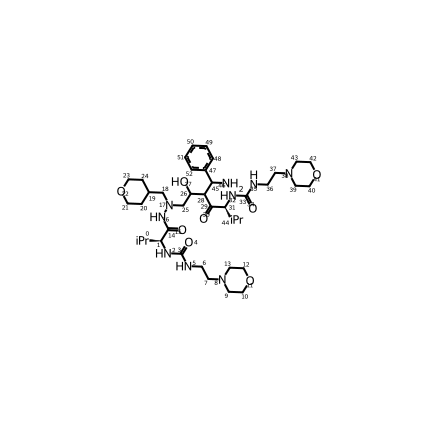 CC(C)[C@H](NC(=O)NCCN1CCOCC1)C(=O)NN(CC1CCOCC1)CC(O)C(C(=O)[C@@H](NC(=O)NCCN1CCOCC1)C(C)C)C(N)c1ccccc1